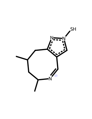 CC1Cc2nn(S)cc2/C=N\C(C)C1